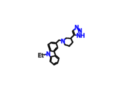 CCn1c2ccccc2c2cc(CN3CCCC(c4cnn[nH]4)C3)ccc21